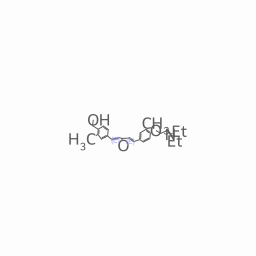 CCN(CC)CCOc1ccc(/C=C/C(=O)/C=C/c2ccc(CO)c(C)c2)cc1C